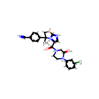 CC1(c2ccc(C#N)cc2)CSc2ncc(C(=O)N3CCN(c4cccc(Cl)c4)C(=O)C3)n21